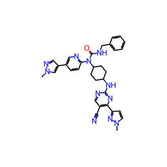 Cn1cc(-c2ccc(N(C(=O)NCc3ccccc3)C3CCC(Nc4ncc(C#N)c(-c5ccn(C)n5)n4)CC3)nc2)cn1